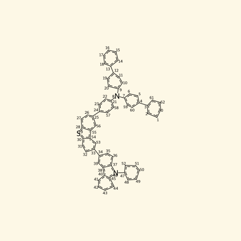 c1ccc(-c2ccc(N(c3ccc(-c4ccccc4)cc3)c3ccc(-c4ccc5sc6ccc(-c7ccc8c(c7)c7ccccc7n8-c7ccccc7)cc6c5c4)cc3)cc2)cc1